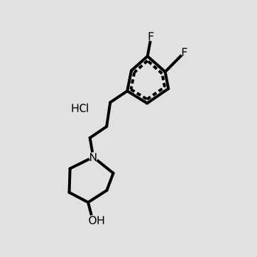 Cl.OC1CCN(CCCc2ccc(F)c(F)c2)CC1